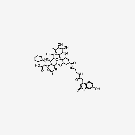 CC[C@@H]1CC(C(=O)NCCNC(=O)Cc2cc(=O)oc3cc(O)ccc23)CC(O[C@@H]2O[C@@H](CO)C(O)C(O[C@@H](CC3CCCCC3)C(=O)O)C2NC(C)=O)C1OC1OC(C)C(O)C(O)C1O